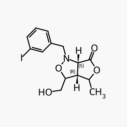 CC1OC(=O)[C@@H]2[C@H]1C(CO)ON2Cc1cccc(I)c1